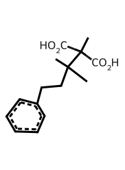 CC(C)(CCc1ccccc1)C(C)(C(=O)O)C(=O)O